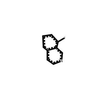 Ic1cccc2ccncc12